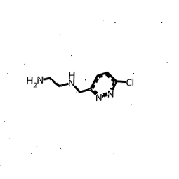 NCCNCc1ccc(Cl)nn1